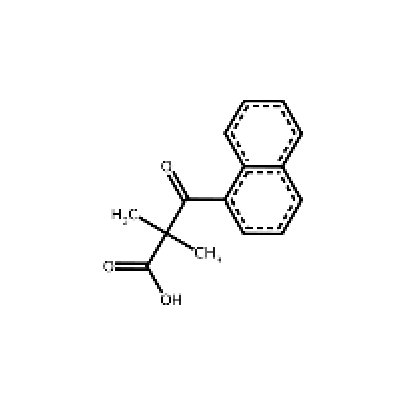 CC(C)(C(=O)O)C(=O)c1cccc2ccccc12